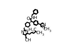 C#Cc1cnc(C[C@H]2CC[C@H](C(C(=O)NCc3ccccc3)c3ccc(-c4cnn(C)c4)cc3)CC2)nc1CCCC(=C)C